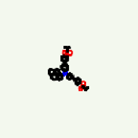 C=C(C)C(=O)Oc1ccc(-c2ccc(N(c3ccc(-c4ccc(OC(=O)C(=C)C)cc4)cc3)c3ccc4c5c6c(ccc35)CC=CC6=CC4)cc2)cc1